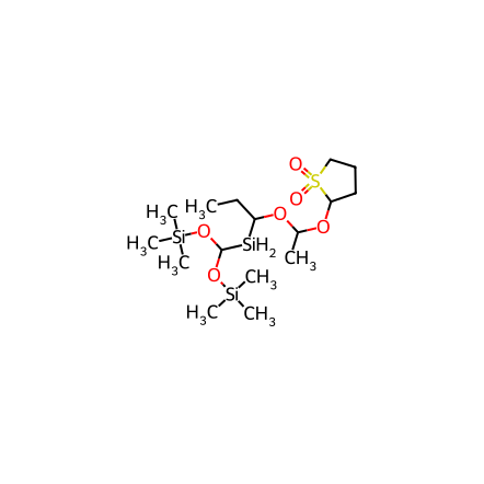 CCC(OC(C)OC1CCCS1(=O)=O)[SiH2]C(O[Si](C)(C)C)O[Si](C)(C)C